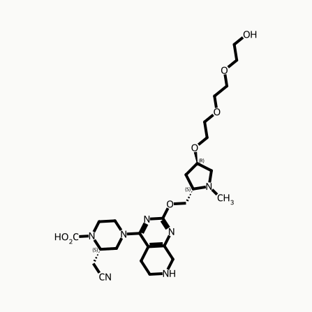 CN1C[C@H](OCCOCCOCCO)C[C@H]1COc1nc2c(c(N3CCN(C(=O)O)[C@@H](CC#N)C3)n1)CCNC2